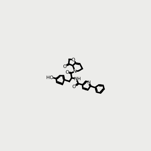 O=C(NC(Cc1ccc(O)cc1)C(=O)N1CCC=C2OCC(=O)C21)c1ccc(-c2ccccc2)nc1